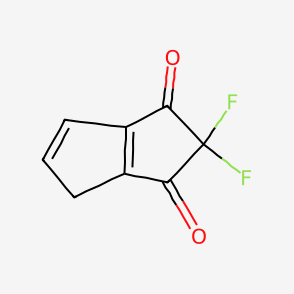 O=C1C2=C(CC=C2)C(=O)C1(F)F